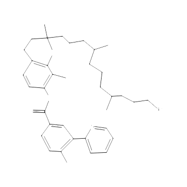 Cc1ccc(C(=O)Oc2ccc3c(c2C)OC(C)(CCCC(C)CCCC(C)CCCC(C)C)CC3)cc1-c1ccccn1